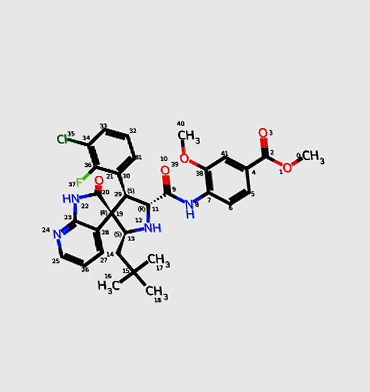 COC(=O)c1ccc(NC(=O)[C@@H]2N[C@@H](CC(C)(C)C)[C@@]3(C(=O)Nc4ncccc43)[C@H]2c2cccc(Cl)c2F)c(OC)c1